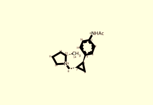 CC(=O)Nc1ccc([C@H]2C[C@@H]2CN2CCC[C@@H]2C)cc1